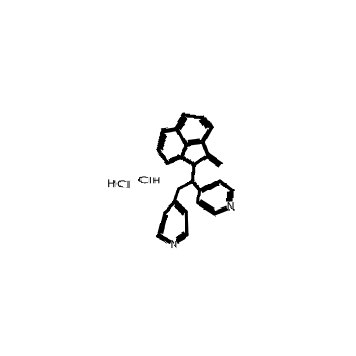 C=C1c2cccc3cccc(c23)C1C(Cc1ccncc1)c1ccncc1.Cl.Cl